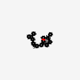 c1ccc(-c2nc(-c3ccccc3)nc(-c3cccc4c3oc3c(-n5c6ccccc6c6cc(-c7ccc8sc9ccc(-c%10ccc%11c(c%10)c%10ccccc%10n%11-c%10ccccc%10)cc9c8c7)ccc65)cccc34)n2)cc1